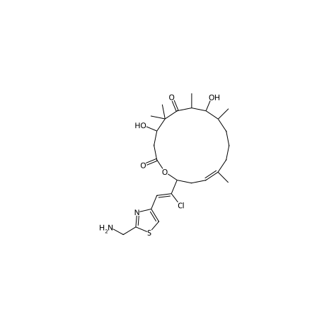 C/C1=C/CC(C(Cl)=Cc2csc(CN)n2)OC(=O)CC(O)C(C)(C)C(=O)C(C)C(O)C(C)CCC1